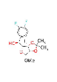 CO[C@@H]1O[C@H]([C@@H](O)c2ccc(F)c(F)c2)[C@H]2OC(C)(C)OC12